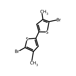 Cc1cc(-c2cc(C)c(Br)s2)sc1Br